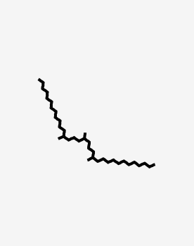 CCCCCCCCCCCCC(C)CCCC(C)CCCC(C)CCCCCCCCCCCC